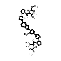 COC(=O)N[C@H](C(=O)N1CCC[C@H]1c1nc(-c2ccc(-c3cc4cc(-c5cnc([C@@H]6CCCN6C(=O)[C@@H](NC(=O)OC)C(C)C)[nH]5)ccc4o3)c(C)c2)c[nH]1)C(C)C